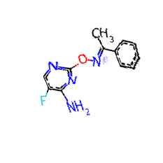 C/C(=N\Oc1ncc(F)c(N)n1)c1ccccc1